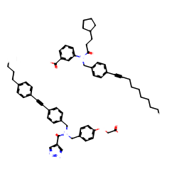 CCCCCCCCC#Cc1ccc(CN(C(=O)CCC2CCCC2)c2cccc(C(=O)O)c2)cc1.CCCCc1ccc(C#Cc2ccc(CN(Cc3ccc(OCC(=O)O)cc3)C(=O)c3cn[nH]c3)cc2)cc1